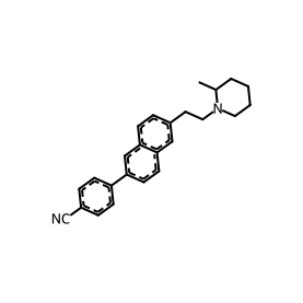 CC1CCCCN1CCc1ccc2cc(-c3ccc(C#N)cc3)ccc2c1